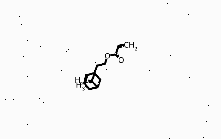 C=CC(=O)OCCC12C=CCC(C1)C2(C)C